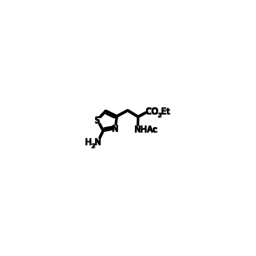 CCOC(=O)C(Cc1csc(N)n1)NC(C)=O